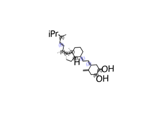 C=C1C[C@@H](O)[C@H](O)C/C1=C/C=C1\CCC[C@]2(C)[C@@H]([C@H](C)/C=C/[C@H](C)C(C)C)CC[C@@H]12